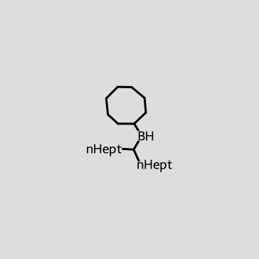 CCCCCCCC(BC1CCCCCCC1)CCCCCCC